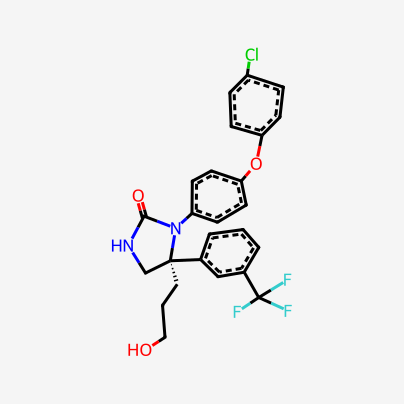 O=C1NC[C@](CCCO)(c2cccc(C(F)(F)F)c2)N1c1ccc(Oc2ccc(Cl)cc2)cc1